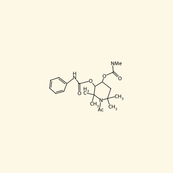 CNC(=O)OC1CC(C)(C)N(C(C)=O)C(C)(C)C1OC(=O)Nc1ccccc1